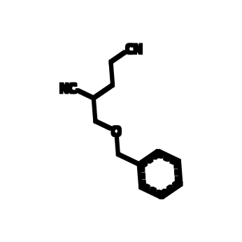 N#CCCC(C#N)COCc1ccccc1